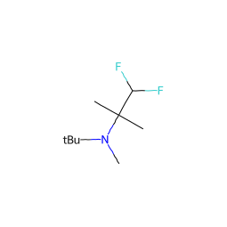 CN(C(C)(C)C)C(C)(C)C(F)F